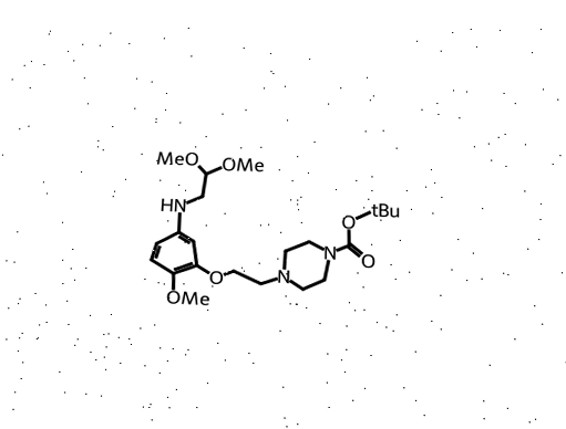 COc1ccc(NCC(OC)OC)cc1OCCN1CCN(C(=O)OC(C)(C)C)CC1